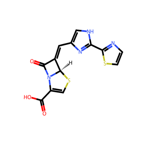 O=C(O)C1=CS[C@@H]2/C(=C\c3c[nH]c(-c4nccs4)n3)C(=O)N12